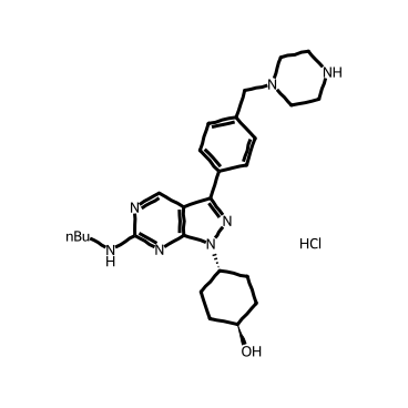 CCCCNc1ncc2c(-c3ccc(CN4CCNCC4)cc3)nn([C@H]3CC[C@H](O)CC3)c2n1.Cl